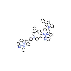 CC1(C)c2ccccc2-c2ccc(N(c3ccc(-c4cc5c6ccccc6n(-c6nc7ccccc7c7nc8ccccc8n67)c5c5ccccc45)cc3)c3cccc(-c4ccc5nc(-n6c7ccccc7c7cc(N(c8ccc(-c9ccccc9)cc8)c8ccccc8-c8ccccc8)c8ccccc8c76)n6c7ccccc7nc6c5c4)c3)cc21